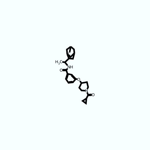 CC(NC(=O)c1cccc(OC2CCN(C(=O)C3CC3)CC2)c1)C12CC3CC(CC1C3)C2